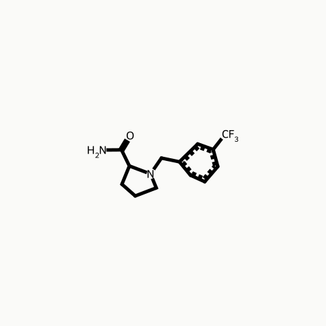 NC(=O)C1CCCN1Cc1cccc(C(F)(F)F)c1